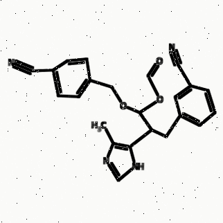 Cc1nc[nH]c1C(Cc1cccc(C#N)c1)C(OC=O)OCc1ccc(C#N)cc1